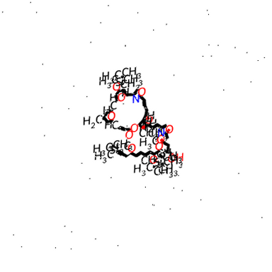 C=C1C[C@@H]2C[C@@H]3C[C@@H](O[Si](C)(C)C(C)(C)C)C[C@@H](O3)c3coc(n3)/C=C/C[C@H]3OC(/C(C)=C/c4coc(C[C@]5(OC)C[C@H](CO)C[C@H]([C@@H](/C=C(C)/C=C/[C@@H](CC#C[Si](C)(C)C)OC)O[Si](C(C)C)(C(C)C)C(C)C)O5)n4)[C@H](C)[C@@H](OC(=O)/C=C\C[C@@H](C1)O2)[C@H]3C